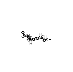 O=C(NCc1ccc(S(=O)(=O)Nc2ccc(N3CCC(NCC(O)c4cccc(O)c4)CC3)cc2)s1)c1ccccc1